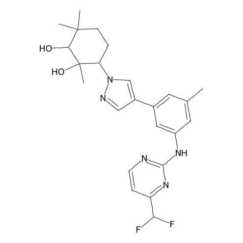 Cc1cc(Nc2nccc(C(F)F)n2)cc(-c2cnn(C3CCC(C)(C)C(O)C3(C)O)c2)c1